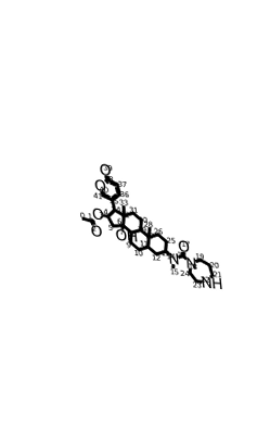 CC(=O)OC1CC2(O)C3CCC4CC(N(C)C(=O)N5CCCNCC5)CCC4(C)C3CCC2(C)C1c1ccc(=O)oc1